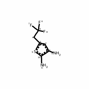 Nc1cc(CC(F)(F)F)sc1N